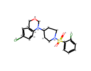 O=S(=O)(c1ccccc1Cl)N1CCC(N2COCc3cc(Cl)ccc32)CC1